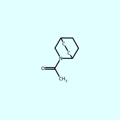 CC(=O)N1CC2CCC1CC2